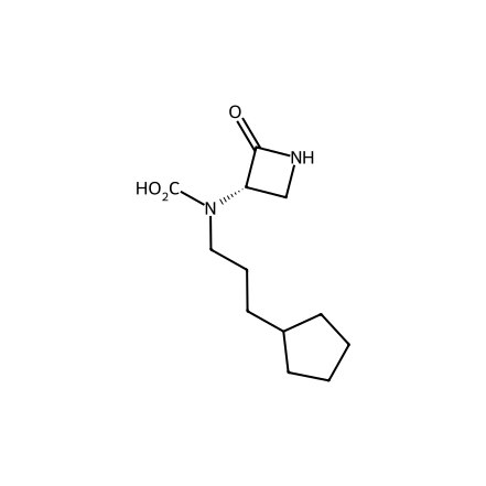 O=C1NC[C@@H]1N(CCCC1CCCC1)C(=O)O